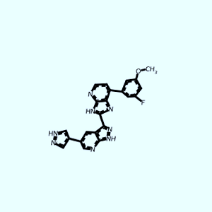 COc1cc(F)cc(-c2ccnc3[nH]c(-c4n[nH]c5ncc(-c6cn[nH]c6)cc45)nc23)c1